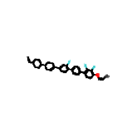 C=CC1CCC(C2CC=C(c3ccc(-c4ccc(-c5ccc(O/C=C\CCC)c(F)c5F)cc4)c(F)c3)CC2)CC1